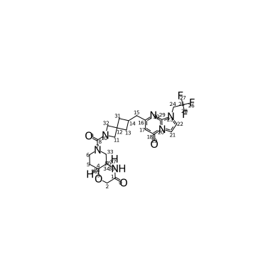 O=C1CO[C@H]2CCN(C(=O)N3CC4(CC(Cc5cc(=O)n6ccn(CC(F)(F)F)c6n5)C4)C3)C[C@H]2N1